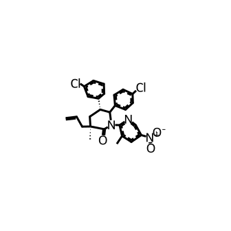 C=CC[C@@]1(C)C[C@H](c2cccc(Cl)c2)C(c2ccc(Cl)cc2)N(c2ncc([N+](=O)[O-])cc2C)C1=O